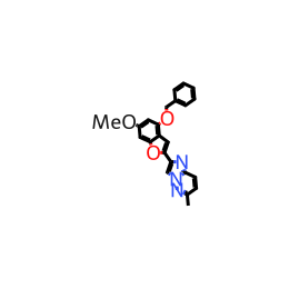 COc1cc(OCc2ccccc2)c2cc(-c3cn4nc(C)ccc4n3)oc2c1